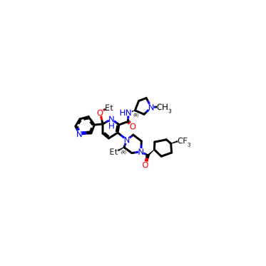 CCOC1(c2cccnc2)C=CC(N2CCN(C(=O)[C@H]3CC[C@@H](C(F)(F)F)CC3)C[C@H]2CC)=C(C(=O)N[C@@H]2CCN(C)C2)N1